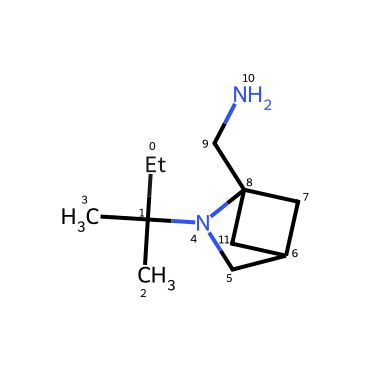 CCC(C)(C)N1CC2CC1(CN)C2